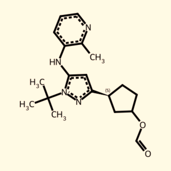 Cc1ncccc1Nc1cc([C@H]2CCC(OC=O)C2)nn1C(C)(C)C